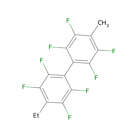 CCc1c(F)c(F)c(-c2c(F)c(F)c(C)c(F)c2F)c(F)c1F